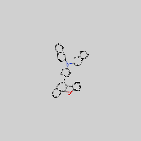 c1ccc2cc(N(c3ccc(-c4cc5ccccc5c5oc6ccccc6c45)cc3)c3ccc4ccccc4c3)ccc2c1